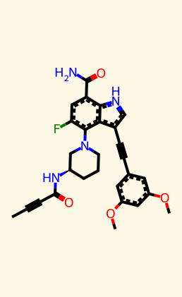 CC#CC(=O)N[C@@H]1CCCN(c2c(F)cc(C(N)=O)c3[nH]cc(C#Cc4cc(OC)cc(OC)c4)c23)C1